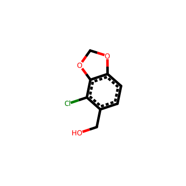 OCc1ccc2c(c1Cl)OCO2